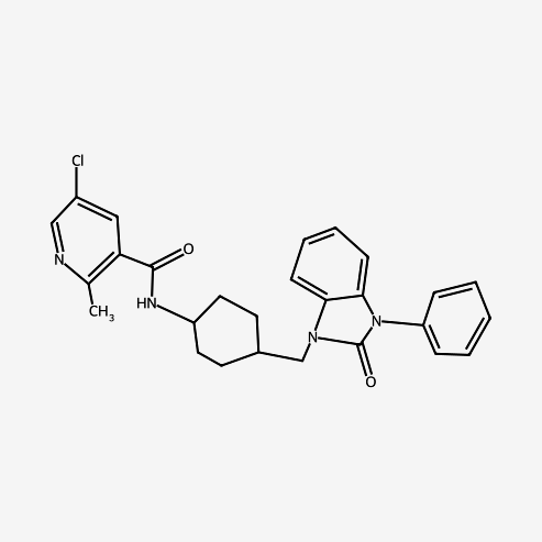 Cc1ncc(Cl)cc1C(=O)NC1CCC(Cn2c(=O)n(-c3ccccc3)c3ccccc32)CC1